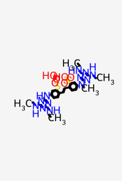 CCNc1nc(NCC)nc(Nc2ccc(/C=C/c3ccc(N(C)c4nc(NCC)nc(NCC)n4)cc3S(=O)(=O)O)c(SOOO)c2)n1